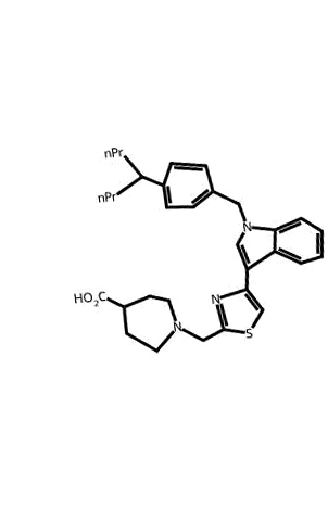 CCCC(CCC)c1ccc(Cn2cc(-c3csc(CN4CCC(C(=O)O)CC4)n3)c3ccccc32)cc1